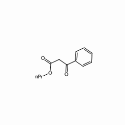 CCCOC(=O)CC(=O)c1ccccc1